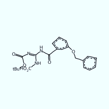 CC(C)(C)OC(=O)N=C(NC(=O)O)NC(=O)c1cccc(OCc2ccccc2)c1